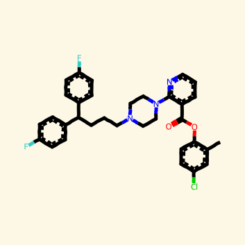 Cc1cc(Cl)ccc1OC(=O)c1cccnc1N1CCN(CCCC(c2ccc(F)cc2)c2ccc(F)cc2)CC1